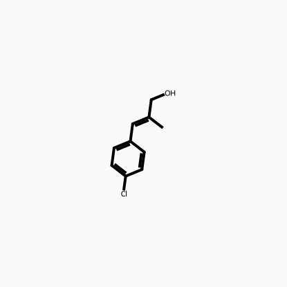 C/C(=C\c1ccc(Cl)cc1)CO